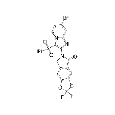 CCS(=O)(=O)c1c(N2Cc3cc4c(cc3C2=O)OC(F)(F)O4)nc2cc(Br)ccn12